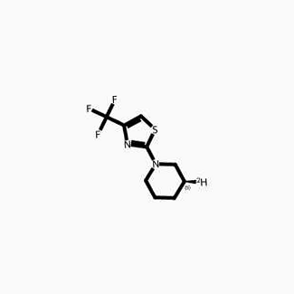 [2H][C@H]1CCCN(c2nc(C(F)(F)F)cs2)C1